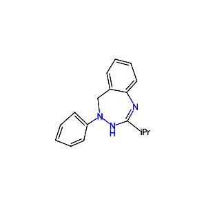 CC(C)C1=Nc2ccccc2CN(c2ccccc2)N1